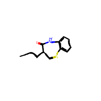 CCCC1CSc2ccccc2NC1=O